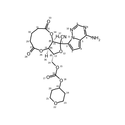 N#CC1(c2ccc3c(N)ncnn23)O[C@H](COC(=O)OC2CCOCC2)[C@H]2OC(=O)CCCC(=O)O[C@H]21